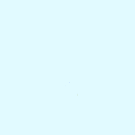 CC[C@H](F)C/C=N/S